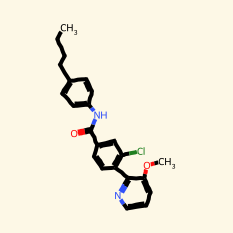 CCCCc1ccc(NC(=O)c2ccc(-c3ncccc3OC)c(Cl)c2)cc1